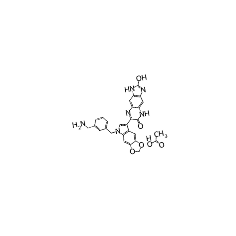 CC(=O)O.NCc1cccc(Cn2cc(-c3nc4cc5[nH]c(O)nc5cc4[nH]c3=O)c3cc4c(cc32)OCO4)c1